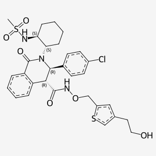 CS(=O)(=O)N[C@H]1CCCC[C@@H]1N1C(=O)c2ccccc2[C@@H](C(=O)NOCc2cc(CCO)cs2)[C@@H]1c1ccc(Cl)cc1